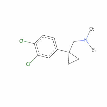 CCN(CC)CC1(c2ccc(Cl)c(Cl)c2)CC1